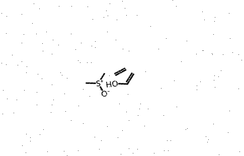 C=C.C=CO.C[S+](C)[O-]